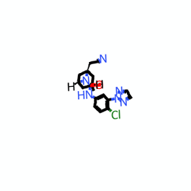 C[C@@H]1C[C@@H]2C[C@](CC#N)(C1)N2C(=O)Nc1ccc(Cl)c(-n2nccn2)c1